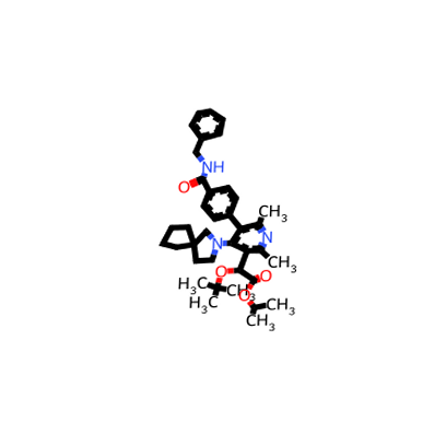 Cc1nc(C)c(C(OC(C)(C)C)C(=O)OC(C)C)c(N2CCC3(CCCC3)C2)c1-c1ccc(C(=O)NCc2ccccc2)cc1